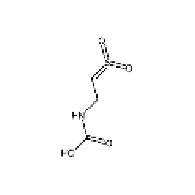 O=C(O)NCC=S(=O)=O